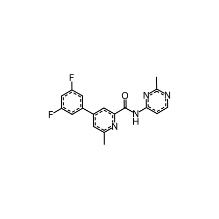 Cc1cc(-c2cc(F)cc(F)c2)cc(C(=O)Nc2ccnc(C)n2)n1